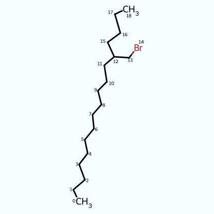 CCCCCCCCCCCCC(CBr)CCCC